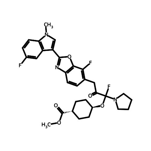 COC(=O)[C@H]1CC[C@H](OC(F)(C(=O)Cc2ccc3nc(-c4cn(C)c5ccc(F)cc45)oc3c2F)N2CCCC2)CC1